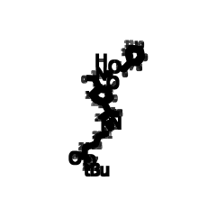 CC(NC(=O)OCc1ccccc1)c1ccc(-c2cnn(CCCCC(=O)OC(C)(C)C)c2)cc1